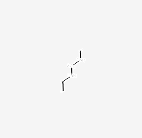 CCNBNC